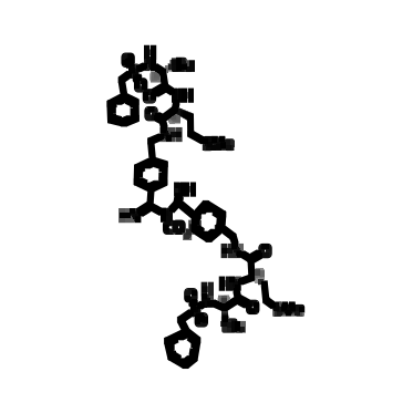 CSCC[C@H](NC(=O)[C@H](NS(=O)(=O)Cc1ccccc1)C(C)(C)C)C(=O)NCc1ccc(C(=N)N(C(=N)c2ccc(CNC(=O)[C@H](CCSC)NC(=O)[C@H](NS(=O)(=O)Cc3ccccc3)C(C)(C)C)cc2)C(=O)O)cc1